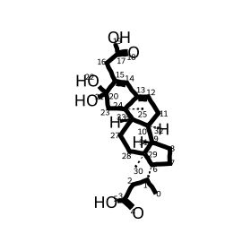 CC(CC(=O)O)[C@H]1CC[C@H]2[C@@H]3CC=C4C=C(CC(=O)O)C(O)(O)C[C@]4(C)[C@H]3CC[C@]12C